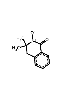 CC1(C)Cc2ccccc2C(=O)[NH+]1[O-]